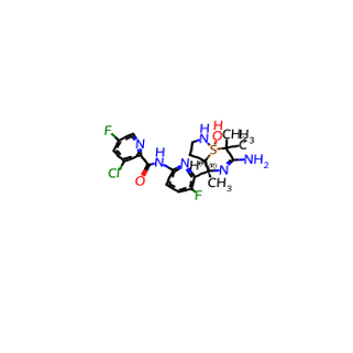 CC1(C)C(N)=N[C@](C)(c2nc(NC(=O)c3ncc(F)cc3Cl)ccc2F)[C@H]2CCNS21O